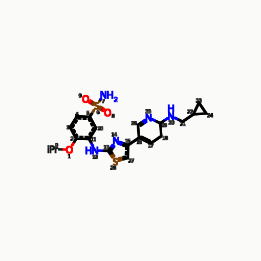 CC(C)Oc1ccc(S(N)(=O)=O)cc1Nc1nc(C2=CCC(NCC3CC3)N=C2)cs1